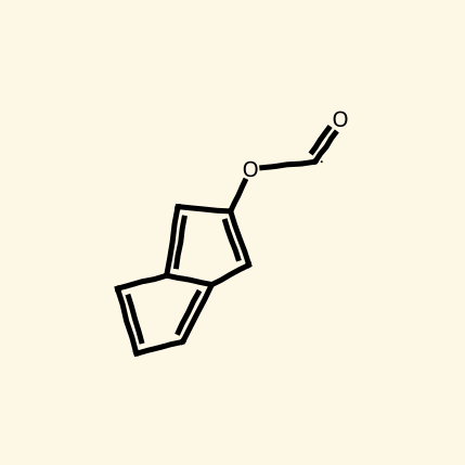 O=[C]OC1=CC2=CC=CC2=C1